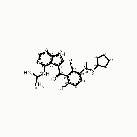 CC(C)Nc1ncnc2[nH]cc(C(=O)c3c(F)ccc(NSC4CCCC4)c3F)c12